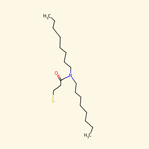 CCCCCCCCN(CCCCCCCC)C(=O)CC[S]